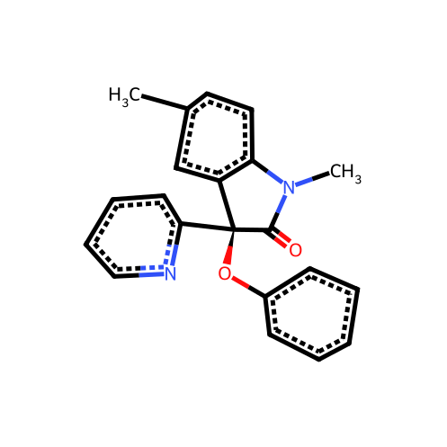 Cc1ccc2c(c1)[C@@](Oc1ccccc1)(c1ccccn1)C(=O)N2C